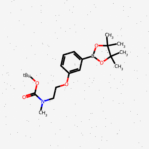 CN(CCOc1cccc(B2OC(C)(C)C(C)(C)O2)c1)C(=O)OC(C)(C)C